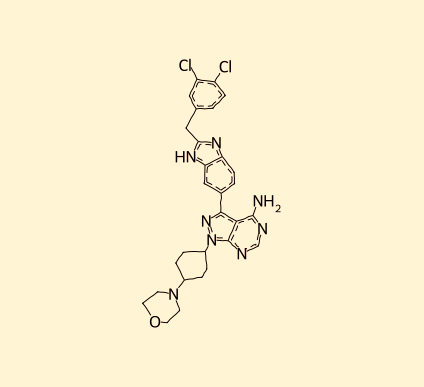 Nc1ncnc2c1c(-c1ccc3nc(Cc4ccc(Cl)c(Cl)c4)[nH]c3c1)nn2C1CCC(N2CCOCC2)CC1